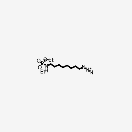 CCOP(=O)(NCCCCCCCCN=[N+]=[N-])OCC